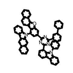 c1ccc(-c2cccc(-c3nc(-c4cc(-n5c6ccccc6c6cc7ccccc7cc65)c5c(c4)oc4c6ccccc6ccc45)nc(-c4cccc5c6ccccc6n(-c6ccccc6)c45)n3)c2)cc1